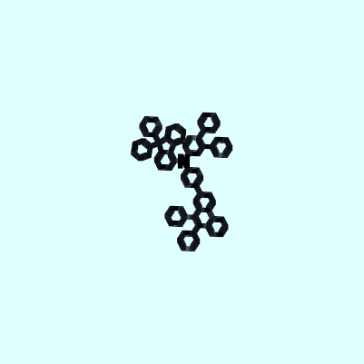 c1ccc(-c2ccc(N(c3ccc(-c4ccc5c(c4)c(-c4ccccc4)c(-c4ccccc4)c4ccccc45)cc3)c3cccc4c3-c3ccccc3C4(c3ccccc3)c3ccccc3)cc2-c2ccccc2)cc1